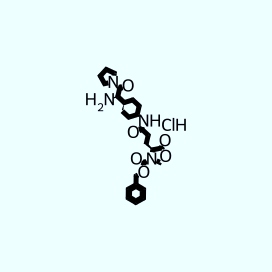 Cl.N[C@H](C(=O)N1CCCC1)[C@H]1CC[C@@H](NC(=O)CC[C@H]2C(=O)OCN2C(=O)OCc2ccccc2)CC1